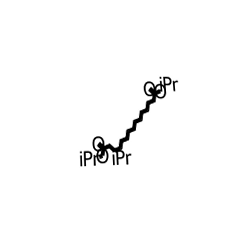 CC(C)OC(=O)CCCCCCCCCCCC(CC(=O)OC(C)C)C(C)C